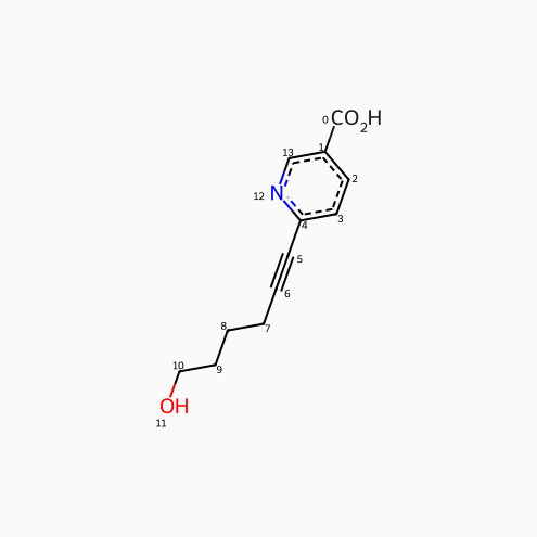 O=C(O)c1ccc(C#CCCCCO)nc1